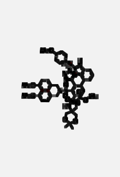 COc1ccc(CN(Cc2ccc(OC)cc2)S(=O)(=O)c2c(S(=O)(=O)NC3(CNC(=O)OC(C)(C)C)COC(C)(C)OC3)ccc(-c3cccc4[nH]c(N)nc34)c2-c2nnn(Cc3ccc(OC)cc3)n2)cc1